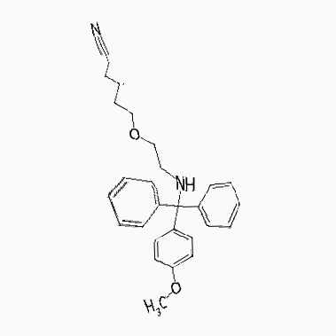 COc1ccc(C(NCCOCC[CH]CC#N)(c2ccccc2)c2ccccc2)cc1